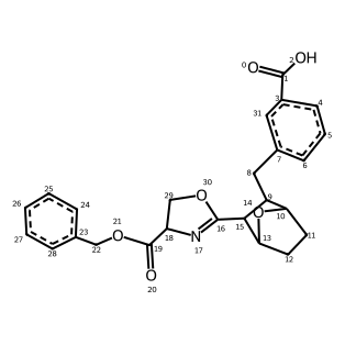 O=C(O)c1cccc(CC2C3CCC(O3)C2C2=NC(C(=O)OCc3ccccc3)CO2)c1